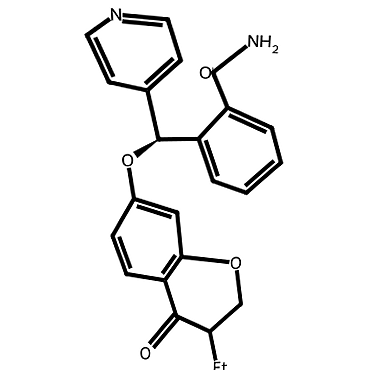 CCC1COc2cc(O[C@@H](c3ccncc3)c3ccccc3C(N)=O)ccc2C1=O